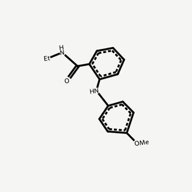 CCNC(=O)c1ccccc1Nc1ccc(OC)cc1